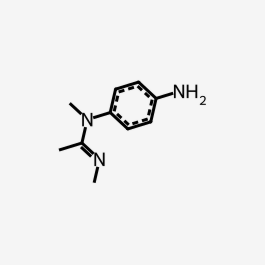 CN=C(C)N(C)c1ccc(N)cc1